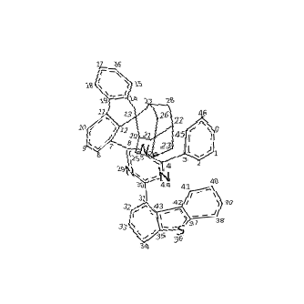 c1ccc(-c2nc(-c3cccc4c3C3(c5ccccc5-4)C4CC5CC(C4)CC3C5)nc(-c3cccc4sc5ccccc5c34)n2)cc1